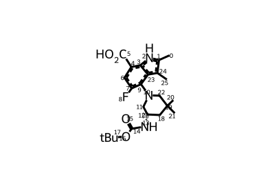 Cc1[nH]c2c(C(=O)O)cc(F)c(N3C[C@@H](NC(=O)OC(C)(C)C)CC(C)(C)C3)c2c1C